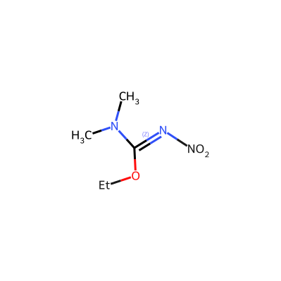 CCO/C(=N\[N+](=O)[O-])N(C)C